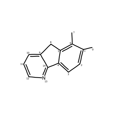 Cc1ccc2c(c1C)Cc1cccnc1-2